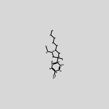 CCCCCCCC(C)(CCCC)c1ncc(Cl)cn1